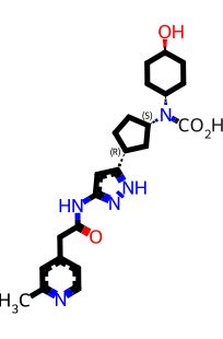 Cc1cc(CC(=O)Nc2cc([C@@H]3CC[C@H](N(C(=O)O)[C@H]4CC[C@H](O)CC4)C3)[nH]n2)ccn1